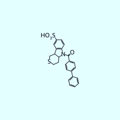 O=C(c1ccc(-c2ccccc2)cc1)N1c2ccc(S(=O)(=O)O)cc2C2CSCCC21